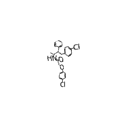 CC(NC(=O)COc1ccc(Cl)cc1)C(Cc1ccc(Cl)cc1)c1ccccc1